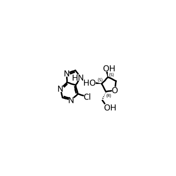 Clc1ncnc2nc[nH]c12.OC[C@H]1OC[C@H](O)[C@@H]1O